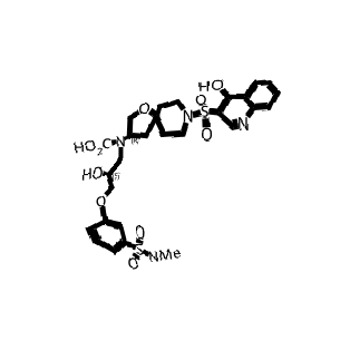 CNS(=O)(=O)c1cccc(OC[C@@H](O)CN(C(=O)O)[C@H]2COC3(CCN(S(=O)(=O)c4cnc5ccccc5c4O)CC3)C2)c1